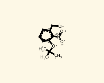 CC(C)(C)Oc1cccc([CH]O)c1[N+](=O)[O-]